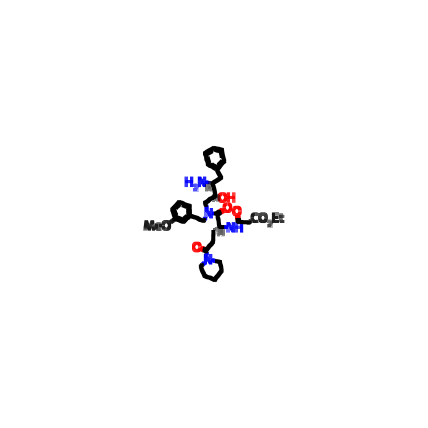 CCOC(=O)CC(=O)N[C@H](CCC(=O)N1CCCCC1)C(=O)N(Cc1cccc(OC)c1)C[C@@H](O)[C@@H](N)Cc1ccccc1